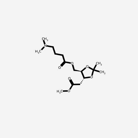 COC(=O)C[C@H]1OC(C)(C)O[C@@H]1COC(=O)CCCN(C)C